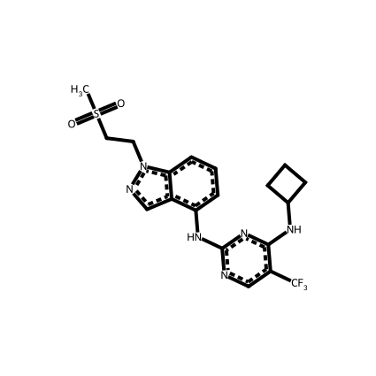 CS(=O)(=O)CCn1ncc2c(Nc3ncc(C(F)(F)F)c(NC4CCC4)n3)cccc21